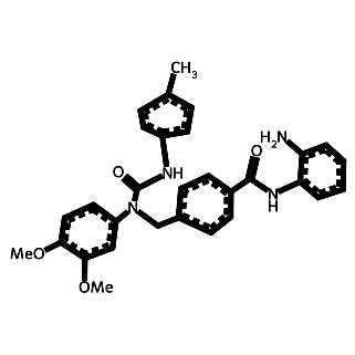 COc1ccc(N(Cc2ccc(C(=O)Nc3ccccc3N)cc2)C(=O)Nc2ccc(C)cc2)cc1OC